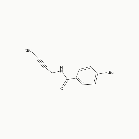 CC(C)(C)C#CCNC(=O)c1ccc(C(C)(C)C)cc1